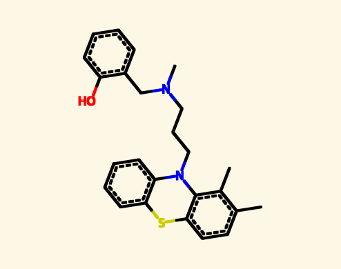 Cc1ccc2c(c1C)N(CCCN(C)Cc1ccccc1O)c1ccccc1S2